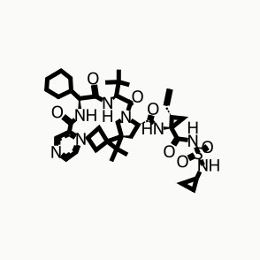 C=C[C@@H]1C[C@]1(NC(=O)[C@@H]1C[C@@]2(CN1C(=O)[C@@H](NC(=O)[C@@H](NC(=O)c1cnccn1)C1CCCCC1)C(C)(C)C)C(C)(C)C21CCC1)C(=O)NS(=O)(=O)NC1CC1